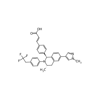 C[C@H]1Cc2cc(-c3cnn(C)c3)ccc2[C@H](c2ccc(/C=C/C(=O)O)cc2)N1c1ccc(CC(F)(F)F)cc1